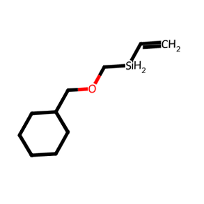 C=C[SiH2]COCC1CCCCC1